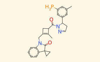 CC1=C(CN2C(=O)C3(CC3)c3ccccc32)CC1C(=O)N1N=CCC1c1cc(C)cc(P)c1